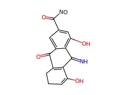 N=C1C2=C(CCC=C2O)C(=O)c2cc(C(=O)N=O)cc(O)c21